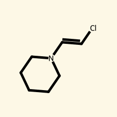 ClC=CN1CCCCC1